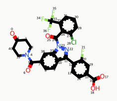 O=C1CCN(C(=O)c2ccc3c(-c4ccc(C(=O)O)cc4F)nn(C(=O)c4c(Cl)cccc4C(F)(F)F)c3c2)CC1